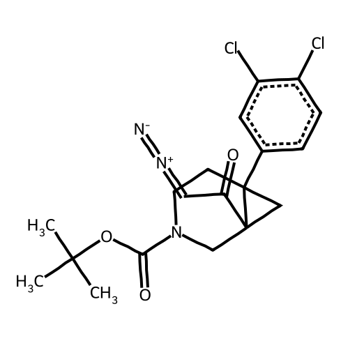 CC(C)(C)OC(=O)N1CCC2(c3ccc(Cl)c(Cl)c3)CC2(C(=O)C=[N+]=[N-])C1